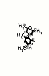 CNc1cc(C)c(N2C[C@@H](C)O[C@@H](C)C2)c(F)c1